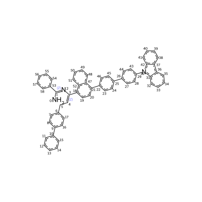 N/C(=N\C(=C/Cc1ccc(-c2ccccc2)cc1)c1ccc(-c2ccc(-c3ccc(-n4c5ccccc5c5ccccc54)cc3)cc2)c2ccccc12)c1ccccc1